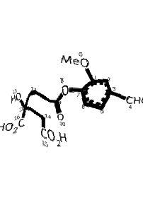 COc1cc(C=O)ccc1OC(=O)CC(O)(CC(=O)O)C(=O)O